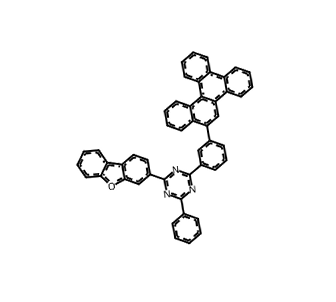 c1ccc(-c2nc(-c3cccc(-c4cc5c6ccccc6c6ccccc6c5c5ccccc45)c3)nc(-c3ccc4c(c3)oc3ccccc34)n2)cc1